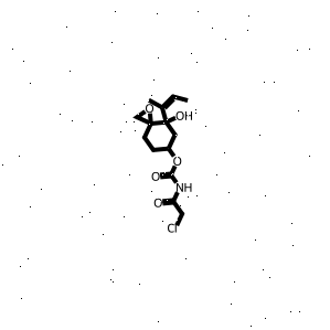 C/C=C(/C)C1(O)CC(OC(=O)NC(=O)CCl)CCC12CO2